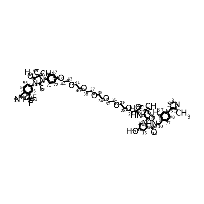 Cc1ncsc1-c1ccc(CNC(=O)[C@@H]2C[C@@H](O)CN2C(=O)[C@@H](NC(=O)COCCOCCOCCOCCOCCOCCOc2ccc(N3C(=S)N(c4ccc(C#N)c(C(F)(F)F)c4)C(=O)C3(C)C)cc2)C(C)(C)C)cc1